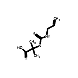 C=CCNC(=S)SC(C)(C)C(=O)O